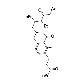 CCCC(=O)CCc1ccc2c(c1C)C(=O)CC(CC(CCC)C(CC)C(=O)CC(C)=O)C2